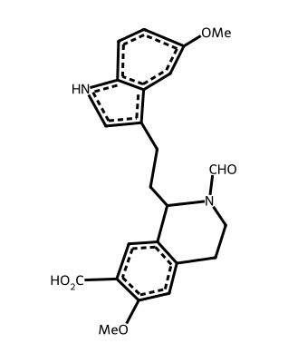 COc1ccc2[nH]cc(CCC3c4cc(C(=O)O)c(OC)cc4CCN3C=O)c2c1